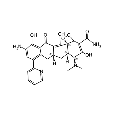 CN(C)[C@@H]1C(O)=C(C(N)=O)C2OO[C@@]23C(O)=C2C(=O)c4c(O)c(N)cc(-c5ccccn5)c4C[C@H]2C[C@@H]13